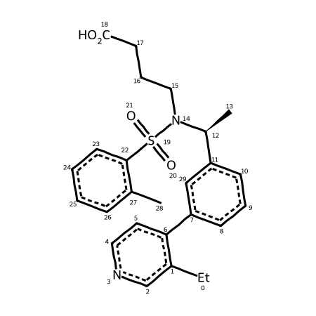 CCc1cnccc1-c1cccc([C@H](C)N(CCCC(=O)O)S(=O)(=O)c2ccccc2C)c1